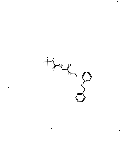 CC(C)(C)OC(=O)NCC(=O)NCCc1ccccc1OCc1ccccc1